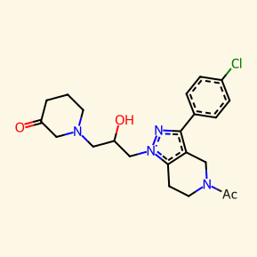 CC(=O)N1CCc2c(c(-c3ccc(Cl)cc3)nn2CC(O)CN2CCCC(=O)C2)C1